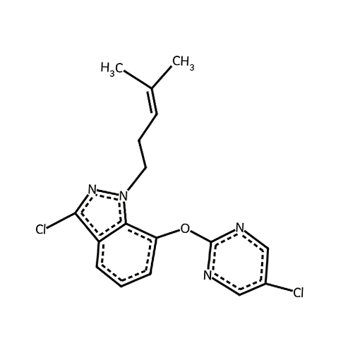 CC(C)=CCCn1nc(Cl)c2cccc(Oc3ncc(Cl)cn3)c21